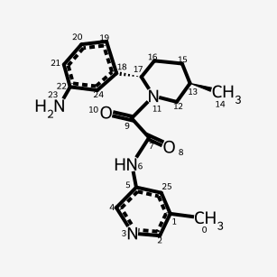 Cc1cncc(NC(=O)C(=O)N2C[C@H](C)CC[C@H]2c2cccc(N)c2)c1